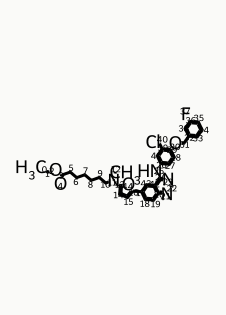 CCOC(=O)CCCCCCN(C)c1ccc(-c2ccc3ncnc(Nc4ccc(OCc5cccc(F)c5)c(Cl)c4)c3c2)o1